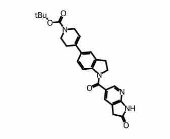 CC(C)(C)OC(=O)N1CC=C(c2ccc3c(c2)CCN3C(=O)c2cnc3c(c2)CC(=O)N3)CC1